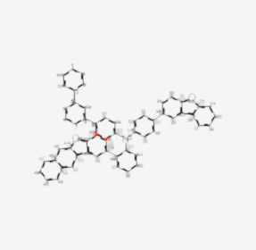 c1ccc(-c2cccc(-c3ccc(N(c4ccc(-c5ccc6oc7ccccc7c6c5)cc4)c4ccccc4-c4ccc5oc6cc7ccccc7cc6c5c4)cc3)c2)cc1